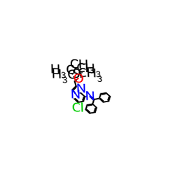 CC(C)(C)[Si](C)(C)OCc1cn2cc(Cl)cc(N=C(c3ccccc3)c3ccccc3)c2n1